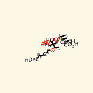 C=CC(=O)O.C=CC(=O)O.C=CC(=O)O.CCCCCCCCCCCCCCCOC(C)C(CO)(CO)CO